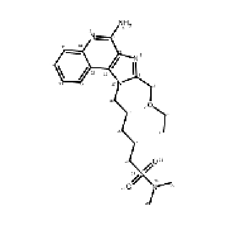 CCOCc1nc2c(N)nc3ccccc3c2n1CCCCCS(=O)(=O)N(C)C